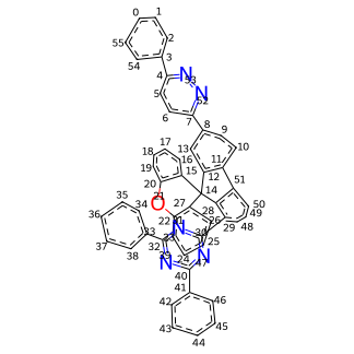 c1ccc(-c2ccc(-c3ccc4c(c3)C3(c5ccccc5Oc5ccccc53)c3c(-c5nc(-c6ccccc6)nc(-c6ccccc6)n5)cccc3-4)nn2)cc1